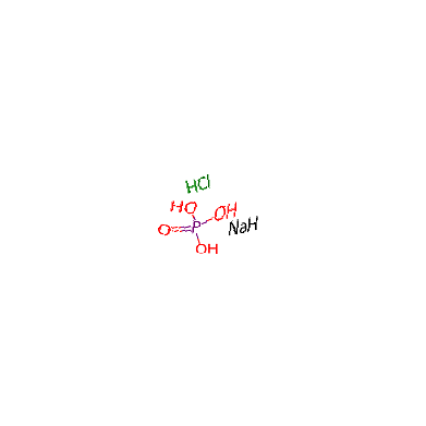 Cl.O=P(O)(O)O.[NaH]